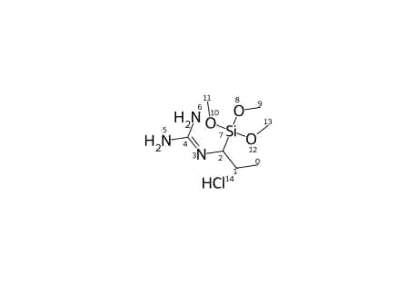 CCC(N=C(N)N)[Si](OC)(OC)OC.Cl